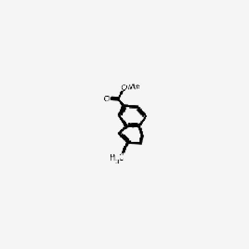 COC(=O)c1ccc2c(c1)C=C(C)CC2